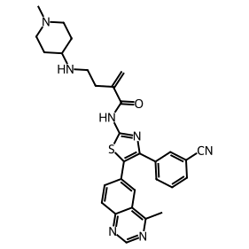 C=C(CCNC1CCN(C)CC1)C(=O)Nc1nc(-c2cccc(C#N)c2)c(-c2ccc3ncnc(C)c3c2)s1